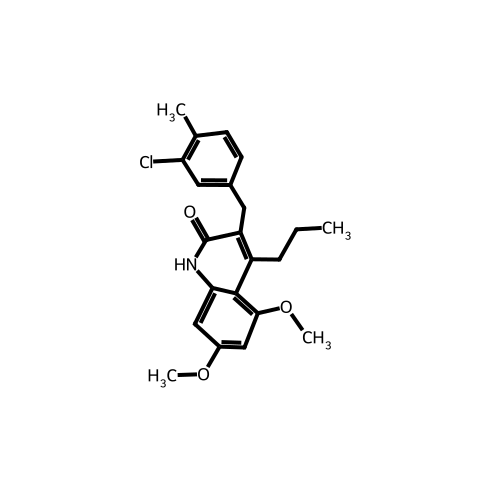 CCCc1c(Cc2ccc(C)c(Cl)c2)c(=O)[nH]c2cc(OC)cc(OC)c12